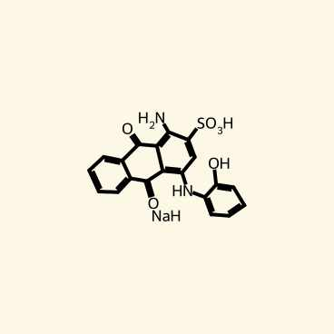 Nc1c(S(=O)(=O)O)cc(Nc2ccccc2O)c2c1C(=O)c1ccccc1C2=O.[NaH]